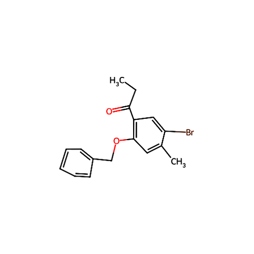 CCC(=O)c1cc(Br)c(C)cc1OCc1ccccc1